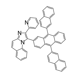 c1ccc(-c2nc3ccc4ccccc4n3c2-c2ccc3c(-c4ccc5ccccc5c4)c4ccccc4c(-c4ccc5ccccc5c4)c3c2)nc1